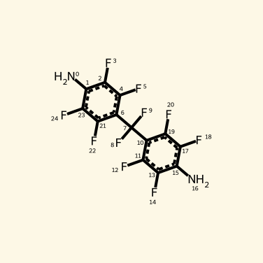 Nc1c(F)c(F)c(C(F)(F)c2c(F)c(F)c(N)c(F)c2F)c(F)c1F